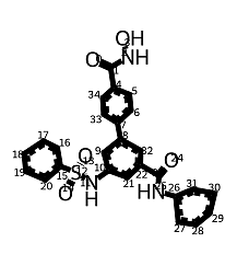 O=C(NO)c1ccc(-c2cc(NS(=O)(=O)c3ccccc3)cc(C(=O)Nc3ccccc3)c2)cc1